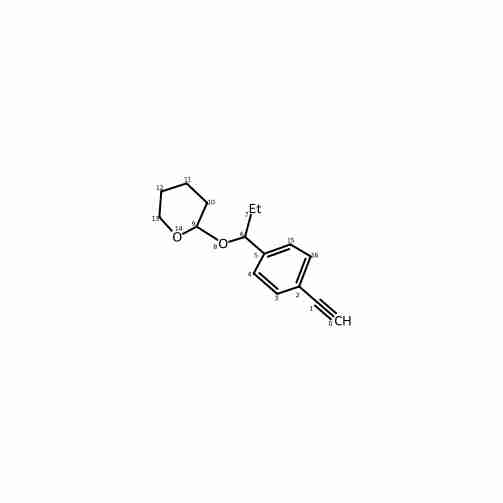 C#Cc1ccc(C(CC)OC2CCCCO2)cc1